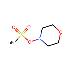 CCCS(=O)(=O)ON1CCOCC1